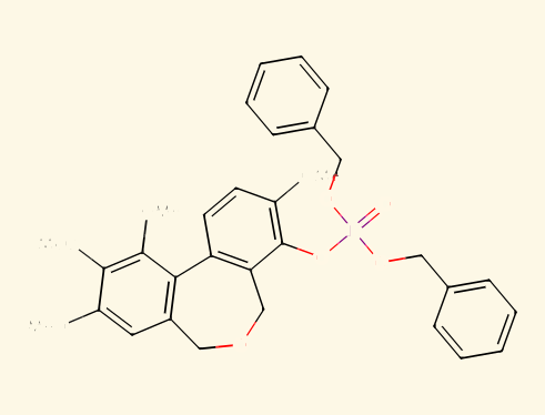 COc1ccc2c(c1OP(=O)(OCc1ccccc1)OCc1ccccc1)COCc1cc(OC)c(OC)c(OC)c1-2